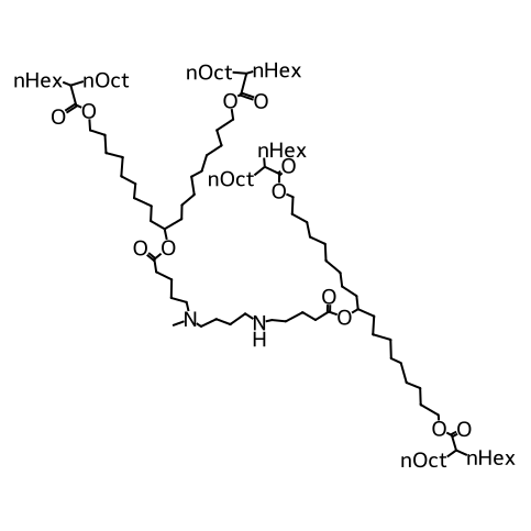 CCCCCCCCC(CCCCCC)C(=O)OCCCCCCCCCC(CCCCCCCCCOC(=O)C(CCCCCC)CCCCCCCC)OC(=O)CCCCNCCCCN(C)CCCCC(=O)OC(CCCCCCCCCOC(=O)C(CCCCCC)CCCCCCCC)CCCCCCCCCOC(=O)C(CCCCCC)CCCCCCCC